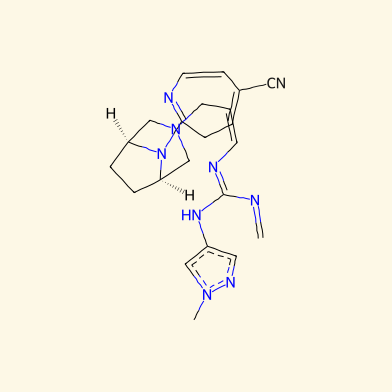 C=N/C(=N\C=C/CN1C[C@H]2CC[C@@H](C1)N2C1=NC=CC(C#N)=CC1)Nc1cnn(C)c1